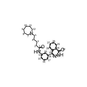 O=C(CCCCN1CCCCCC1)Nc1cccc(-c2n[nH]c(=O)c3ccccc23)c1